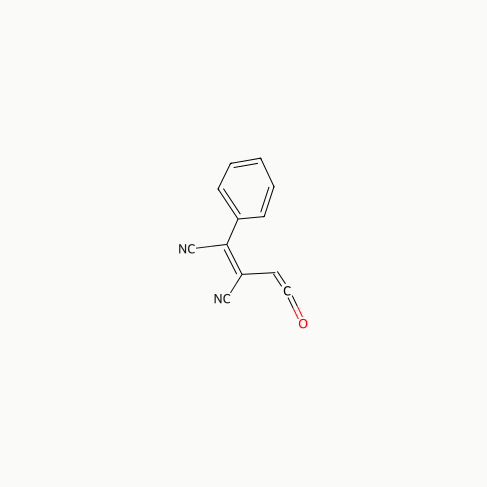 N#CC(C=C=O)=C(C#N)c1ccccc1